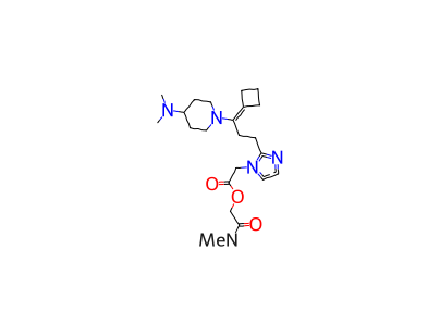 CNC(=O)COC(=O)Cn1ccnc1CCC(=C1CCC1)N1CCC(N(C)C)CC1